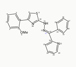 COc1ccccc1-c1csc(N/N=C(\c2ccccc2)c2ccccn2)n1